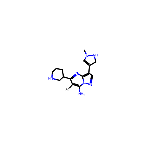 CC(=O)c1c(C2CCCNC2)nc2c(C3=CN(C)NC3)cnn2c1N